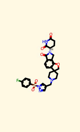 O=C1CC[C@H](N2Cc3c(ccc4c3OCC43CCN(Cc4cnn(S(=O)(=O)c5ccc(F)cc5)c4)CC3)C2=O)C(=O)N1